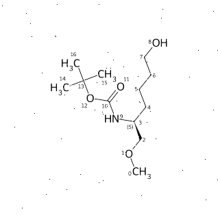 COC[C@H](CCCCO)NC(=O)OC(C)(C)C